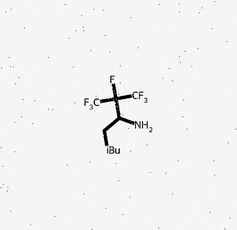 CCC(C)CC(N)C(F)(C(F)(F)F)C(F)(F)F